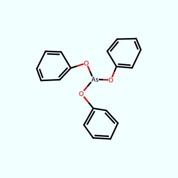 c1ccc(O[As](Oc2ccccc2)Oc2ccccc2)cc1